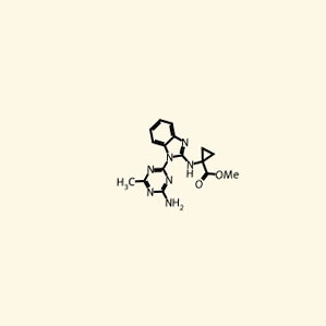 COC(=O)C1(Nc2nc3ccccc3n2-c2nc(C)nc(N)n2)CC1